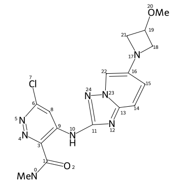 CNC(=O)c1nnc(Cl)cc1Nc1nc2ccc(N3CC(OC)C3)cn2n1